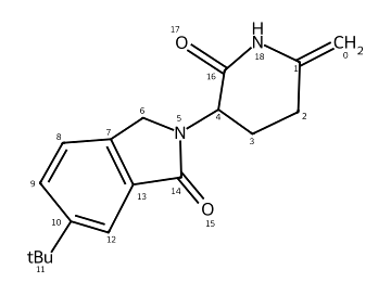 C=C1CCC(N2Cc3ccc(C(C)(C)C)cc3C2=O)C(=O)N1